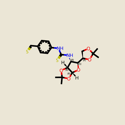 CC1(C)O[C@H]2O[C@H]([C@H]3COC(C)(C)O3)[C@@H](NC(=S)Nc3ccc(C=S)cc3)[C@H]2O1